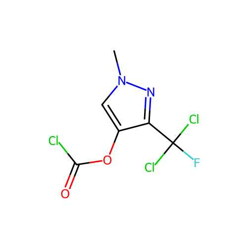 Cn1cc(OC(=O)Cl)c(C(F)(Cl)Cl)n1